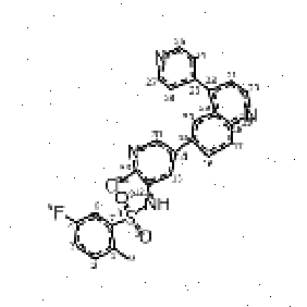 Cc1ccc(F)cc1S(=O)(=O)Nc1cc(-c2ccc3nccc(-c4ccncc4)c3c2)cnc1Cl